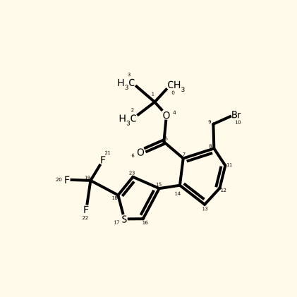 CC(C)(C)OC(=O)c1c(CBr)cccc1-c1csc(C(F)(F)F)c1